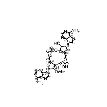 CO[C@H]1[C@H]2OP(=O)(O)OC[C@H]3C[C@@H](n4cnc5c(N)ncnc54)[C@@H](O)C3OP(=O)(O)OC[C@H]2O[C@H]1n1cnc2c(N)ncnc21